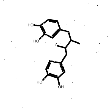 CC(Cc1ccc(O)c(O)c1)C(F)Cc1ccc(O)c(O)c1